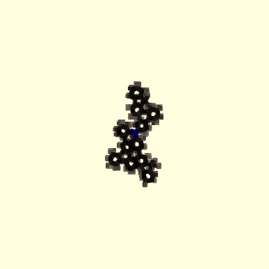 CC1(C)c2ccccc2-c2ccc(-c3ccc(N(c4ccc(-c5ccccc5-c5cccc6c5C(C)(C)c5ccccc5-6)cc4)c4ccccc4-c4ccc(-c5ccccc5)c(-c5ccccc5)c4)cc3)cc21